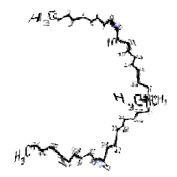 CCCCCCCC/C=C\CCCCCCCC[N+](C)(C)CCCCCCCC/C=C\CCCCCCCC